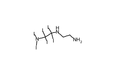 NCCNC(I)(I)C(I)(I)N(I)I